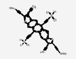 C#Cc1c(C#CCCCCCC)sc2cc3c(C#C[Si](CC)(CC)CC)c4cc5c(C#C)c(C#CCCCCCC)sc5cc4c(C#C[Si](CC)(CC)CC)c3cc12